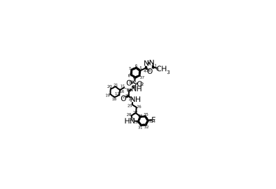 Cc1nnc(-c2cccc(S(=O)(=O)N[C@@H](CC3CCCCC3)C(=O)NCCC3CNc4ccc(F)cc43)c2)o1